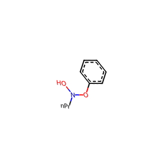 CCCN(O)Oc1ccccc1